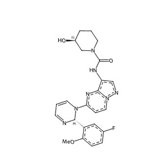 COc1ccc(F)cc1[C@@H]1N=CC=CN1c1ccn2ncc(NC(=O)N3CCC[C@H](O)C3)c2n1